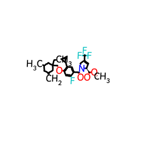 C=C1CC(C)CC(CC)(COc2cc(F)c(C(=O)N3CC(C(F)(F)F)=C[C@H]3C(=O)OC)cc2C2CC2)C1